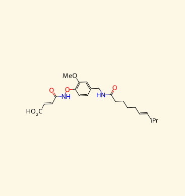 COc1cc(CNC(=O)CCCC/C=C/C(C)C)ccc1ONC(=O)/C=C/C(=O)O